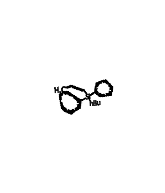 C/C=C\[Si](CCCC)(c1ccccc1)c1ccccc1